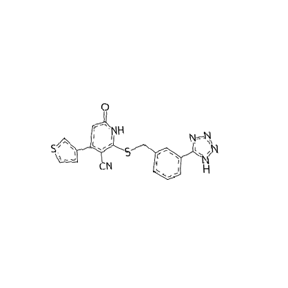 N#Cc1c(-c2ccsc2)cc(=O)[nH]c1SCc1cccc(-c2nnn[nH]2)c1